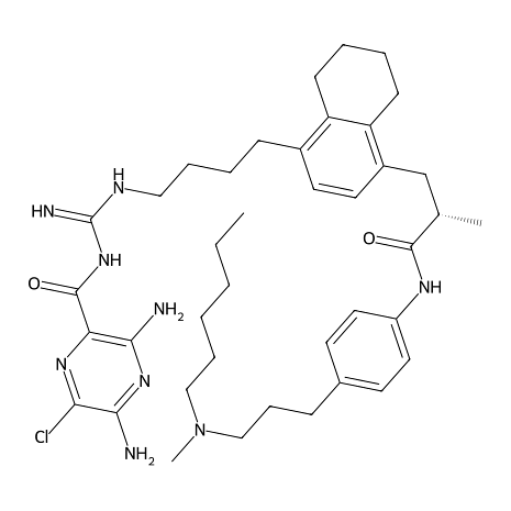 CCCCCCN(C)CCCc1ccc(NC(=O)[C@@H](C)Cc2ccc(CCCCNC(=N)NC(=O)c3nc(Cl)c(N)nc3N)c3c2CCCC3)cc1